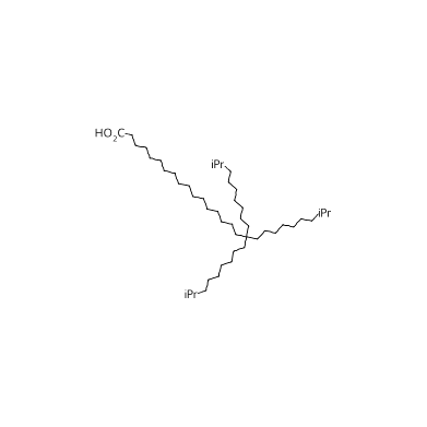 CC(C)CCCCCCCC(CCCCCCCCCCCCCCCCC(=O)O)(CCCCCCCC(C)C)CCCCCCCC(C)C